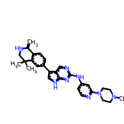 C=C1NCC(C)(C)c2cc(-c3c[nH]c4nc(Nc5ccnc(N6CCN(C)CC6)c5)ncc34)ccc21